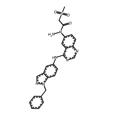 CS(=O)(=O)CC(=O)N(N)c1ccc2ncnc(Nc3ccc4c(cnn4Cc4ccccc4)c3)c2c1